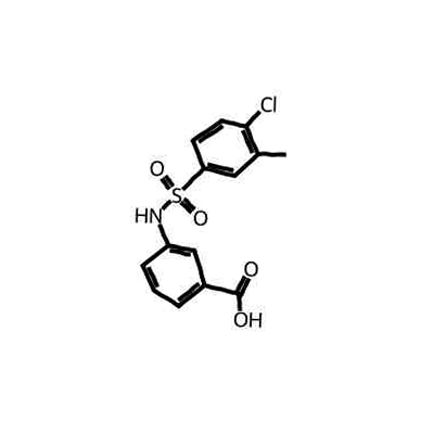 Cc1cc(S(=O)(=O)Nc2cccc(C(=O)O)c2)ccc1Cl